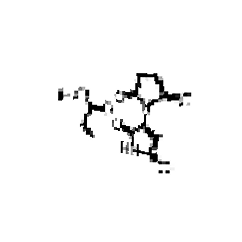 CCC(=O)O.O=C1C=C(N2C(=O)CCC2=O)C(=O)N1